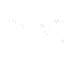 COc1ccc(F)cc1-c1nc([C@@H]2CC23CCN(S(N)(=O)=O)CC3)no1